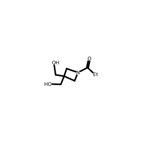 CCC(=O)N1CC(CO)(CO)C1